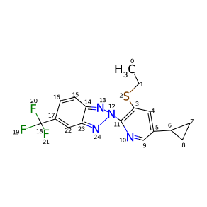 CCSc1cc(C2CC2)cnc1-n1nc2ccc(C(F)(F)F)cc2n1